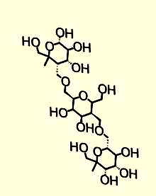 CC1(CO)O[C@H](COC[C@@H]2C(CO)O[C@H](COC[C@H]3[C@@H](O)C(O)[C@@H](O)OC3(C)CO)C(O)[C@@H]2O)C(O)[C@H](O)[C@@H]1O